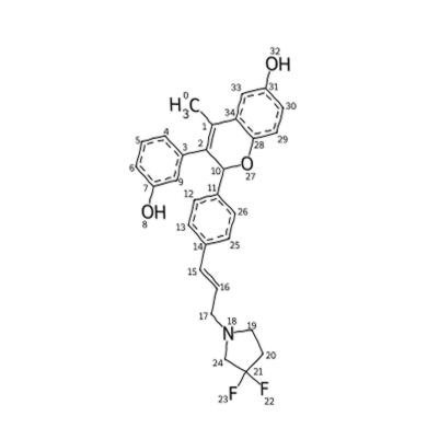 CC1=C(c2cccc(O)c2)C(c2ccc(/C=C/CN3CCC(F)(F)C3)cc2)Oc2ccc(O)cc21